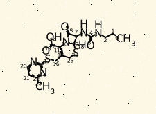 CCCNC(=O)NC1C(=O)N2C(C(=O)O)=C(CSc3nccc(C)n3)CS[C@@H]12